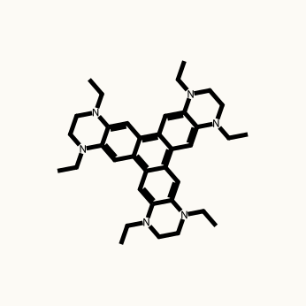 CCN1CCN(CC)c2cc3c(cc21)c1cc2c(cc1c1cc4c(cc31)N(CC)CCN4CC)N(CC)CCN2CC